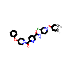 C/C=C\C(=C/C)ON1CC[C@H](NC(=O)c2ccc(C(=O)N3CCC(Oc4ccccc4)CC3)nc2)[C@@H](F)C1